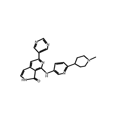 CN1CCC(c2ccc(Nc3nc(-c4cncnc4)cc4cc[nH]c(=O)c34)cn2)CC1